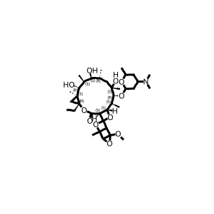 CC[C@@]12C[C@@]1(C)[C@H](O)[C@@H](C)[C@@H](O)[C@H](C)C[C@](C)(O)[C@H](OC1CC(N(C)C)CC(C)O1)[C@@H](C)[C@@H]1OC3(OC4(C)C5OC5(OC)C43)[C@H]1C(=O)O2